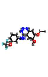 CCOc1cc2nnnc(Nc3cccc(OC(F)(F)F)c3)c2cc1OC